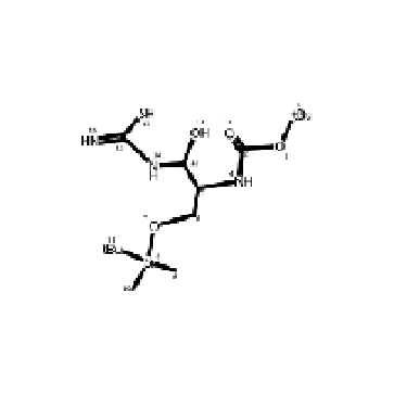 CC(C)(C)OC(=O)NC(CO[Si](C)(C)C(C)(C)C)C(O)NC(=N)S